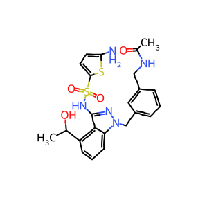 CC(=O)NCc1cccc(Cn2nc(NS(=O)(=O)c3ccc(N)s3)c3c(C(C)O)cccc32)c1